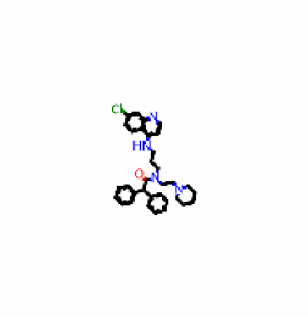 O=C(C(c1ccccc1)c1ccccc1)N(CCCNc1ccnc2cc(Cl)ccc12)CCN1CCCCC1